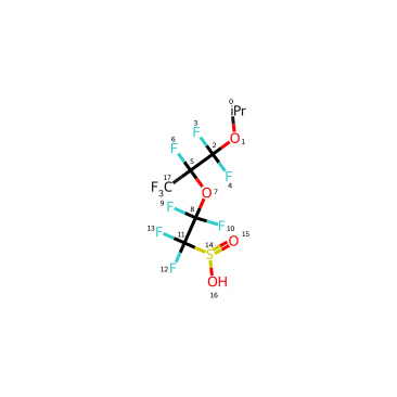 CC(C)OC(F)(F)C(F)(OC(F)(F)C(F)(F)S(=O)O)C(F)(F)F